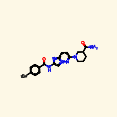 CC(C)(C)c1ccc(C(=O)Nc2cn3nc(N4CCCC(C(N)=O)C4)ccc3n2)cc1